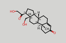 C[C@]12CCC(=O)C=C1CC[C@H]1[C@@H]3CC[C@H](C(=O)CO)[C@@]3(CO)CC[C@@H]12